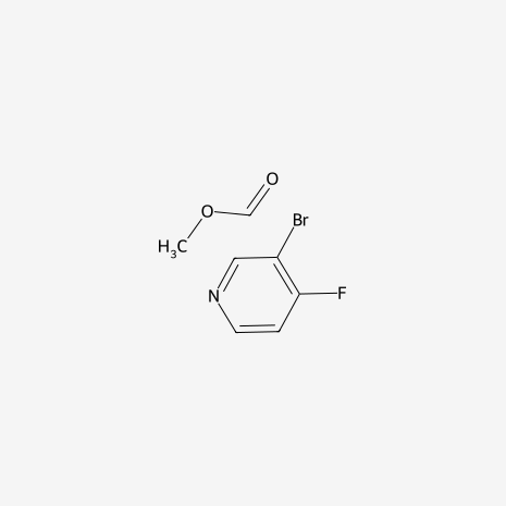 COC=O.Fc1ccncc1Br